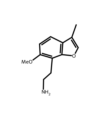 COc1ccc2c(C)coc2c1CCN